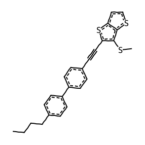 CCCCc1ccc(-c2ccc(C#Cc3sc4ccsc4c3SC)cc2)cc1